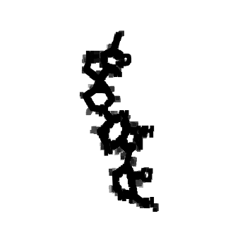 Cc1cc(C2(CN)C3CCN(c4cnc5c(-c6ccnc(N)c6Cl)n[nH]c5n4)CC32)no1